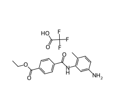 CCOC(=O)c1ccc(C(=O)Nc2cc(N)ccc2C)cc1.O=C(O)C(F)(F)F